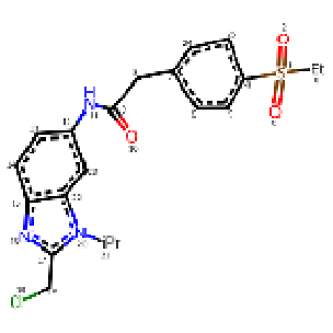 CCS(=O)(=O)c1ccc(CC(=O)Nc2ccc3nc(CCl)n(C(C)C)c3c2)cc1